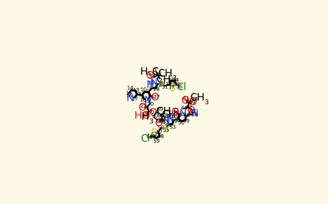 CC(C)(C)C(=O)n1nc(-c2cc(-c3cccnc3)cn(CC(=O)C(=O)O)c2=O)cc1SCc1ccc(Cl)s1.COC(=O)C(=O)Cn1c(C#N)ccc(-c2cc(SCc3ccc(Cl)s3)n(C(=O)C(C)(C)C)n2)c1=O